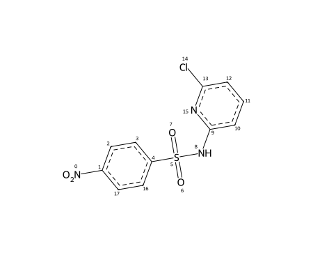 O=[N+]([O-])c1ccc(S(=O)(=O)Nc2cccc(Cl)n2)cc1